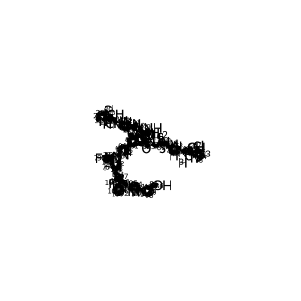 CNc1c(CC(C)(NC(C(N)=O)c2cnc(-c3ccc(NCC(C)(C)c4ncccc4Cl)nn3)s2)C(=O)NCc2cnc(-c3ccc(NCC(C)(C)c4ncccc4Cl)nn3)s2)cc(-c2ccc(NCC3(c4ncccc4F)CC(F)C3)nn2)cc1C(=O)O.OCc1cccc(-c2ccc(NCC3(c4ncccc4F)CC(F)C3)nn2)c1